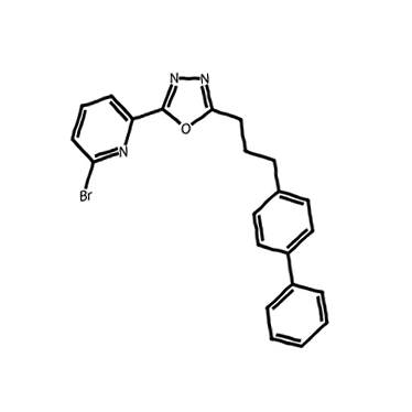 Brc1cccc(-c2nnc(CCCc3ccc(-c4ccccc4)cc3)o2)n1